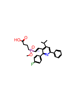 COP(=O)(/C=C/c1c(C(C)C)cc(-c2ccccc2)nc1-c1ccc(F)cc1)CCCC(=O)O